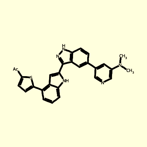 CC(=O)c1ccc(-c2cccc3[nH]c(-c4n[nH]c5ccc(-c6cncc(N(C)C)c6)cc45)cc23)s1